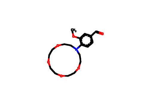 COc1cc(C=O)ccc1N1CCOCCOCCOCCOCC1